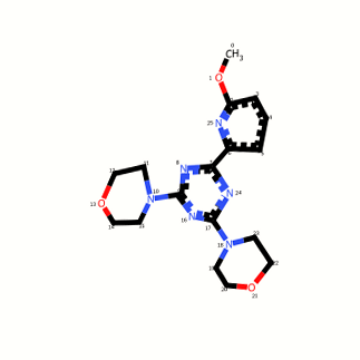 COc1cccc(-c2nc(N3CCOCC3)nc(N3CCOCC3)n2)n1